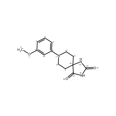 COc1cccc(N2CCC3(CC2)NC(=O)NC3=O)c1